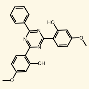 COc1ccc(-c2nc(-c3ccccc3)nc(-c3ccc(OC)cc3O)n2)c(O)c1